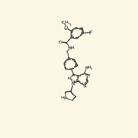 COc1ccc(F)cc1C(=O)NCc1ccc(-c2nn(C3CCNC3)c3ncnc(N)c23)cc1